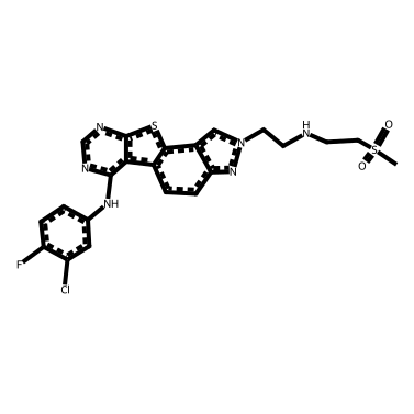 CS(=O)(=O)CCNCCn1cc2c(ccc3c2sc2ncnc(Nc4ccc(F)c(Cl)c4)c23)n1